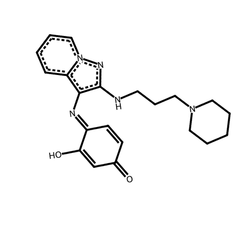 O=C1C=C/C(=N\c2c(NCCCN3CCCCC3)nn3ccccc23)C(O)=C1